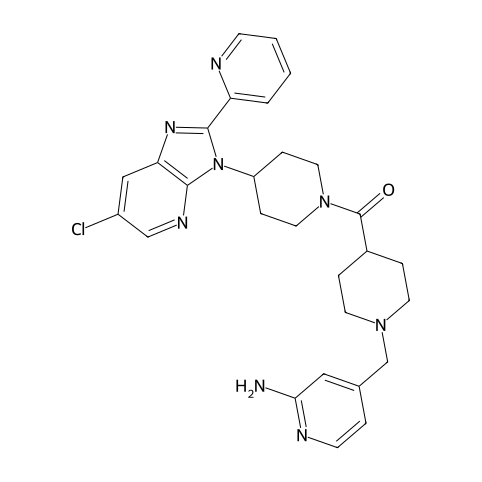 Nc1cc(CN2CCC(C(=O)N3CCC(n4c(-c5ccccn5)nc5cc(Cl)cnc54)CC3)CC2)ccn1